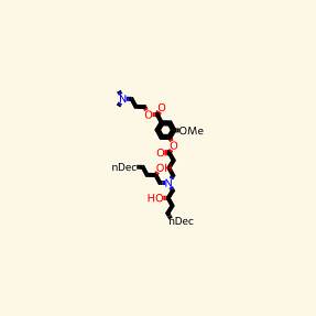 CCCCCCCCCCCCC(O)CN(CCCC(=O)Oc1ccc(C(=O)OCCCN(C)C)cc1OC)CC(O)CCCCCCCCCCCC